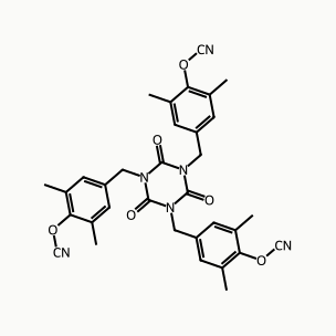 Cc1cc(Cn2c(=O)n(Cc3cc(C)c(OC#N)c(C)c3)c(=O)n(Cc3cc(C)c(OC#N)c(C)c3)c2=O)cc(C)c1OC#N